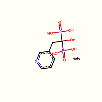 O=P(O)(O)C(O)(Cc1cccnc1)P(=O)(O)O.[NaH]